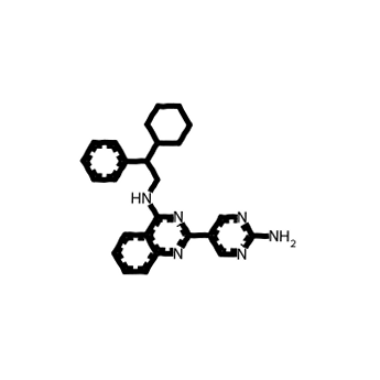 Nc1ncc(-c2nc(NCC(c3ccccc3)C3CCCCC3)c3ccccc3n2)cn1